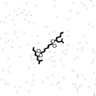 CCCCC(CC(C)C)OC(=O)CCCCC(=O)OC(CCCC)CC(C)C